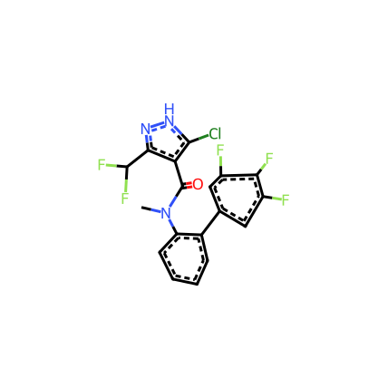 CN(C(=O)c1c(C(F)F)n[nH]c1Cl)c1ccccc1-c1cc(F)c(F)c(F)c1